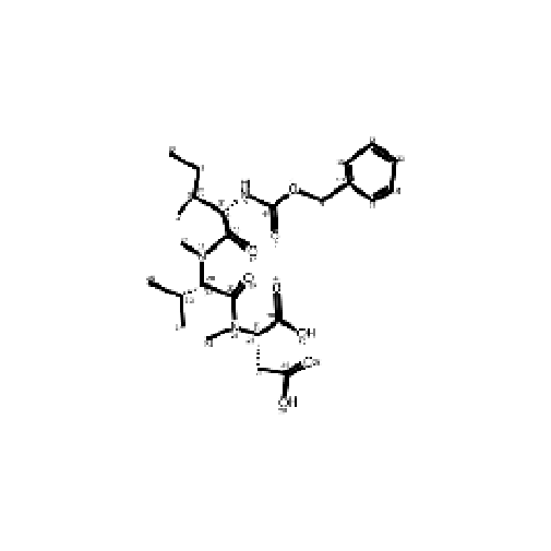 CC[C@H](C)[C@H](NC(=O)OCc1ccccc1)C(=O)N(C)[C@H](C(=O)N(C)[C@@H](CC(=O)O)C(=O)O)C(C)C